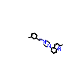 Cc1cccc(/C=C/N2CCN(c3cccc4nc(C)ccc34)CC2)c1